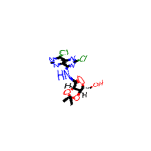 CC1(C)O[C@@H]2[C@@H](CO)OC(Nc3nc(Cl)nc4c(Cl)ncnc34)[C@@H]2O1